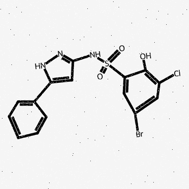 O=S(=O)(Nc1cc(-c2ccccc2)[nH]n1)c1cc(Br)cc(Cl)c1O